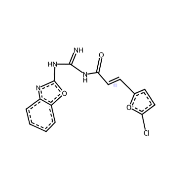 N=C(NC(=O)/C=C/c1ccc(Cl)o1)Nc1nc2ccccc2o1